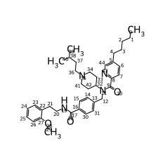 CCCCCc1ccc(C(=O)N(Cc2ccc(C(=O)NCCc3ccccc3OC)cc2)C2CCN(CCC(C)C)CC2)nc1